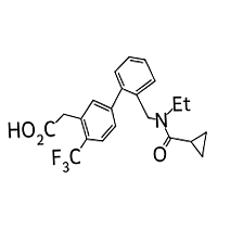 CCN(Cc1ccccc1-c1ccc(C(F)(F)F)c(CC(=O)O)c1)C(=O)C1CC1